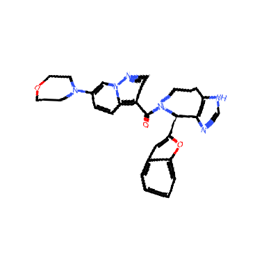 O=C(c1cnn2cc(N3CCOCC3)ccc12)N1CCc2[nH]cnc2[C@H]1c1cc2ccccc2o1